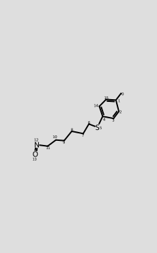 Cc1ccc(SCCCCCCN=O)cc1